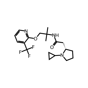 CC(C)(COc1ncccc1C(F)(F)F)NC(=O)C[C@@H]1CCCN1C1CC1